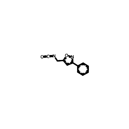 O=C=NCc1cc(-c2ccccc2)no1